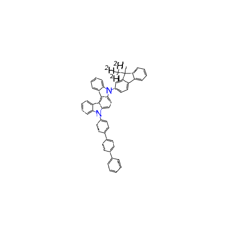 [2H]C([2H])([2H])C1(C)c2ccccc2-c2ccc(-n3c4ccccc4c4c5c6ccccc6n(-c6ccc(-c7ccc(-c8ccccc8)cc7)cc6)c5ccc43)cc21